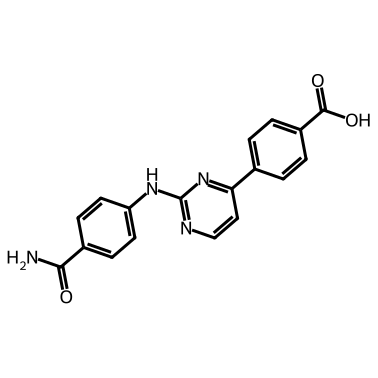 NC(=O)c1ccc(Nc2nccc(-c3ccc(C(=O)O)cc3)n2)cc1